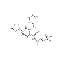 C[C@@H](/C=C/S(C)(=O)=O)NC(=O)c1cnc(C2CCCC2)nc1OC1CCCCC1